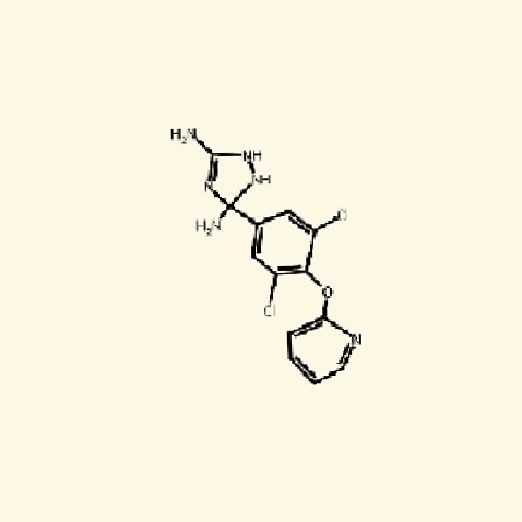 NC1=NC(N)(c2cc(Cl)c(Oc3ccccn3)c(Cl)c2)NN1